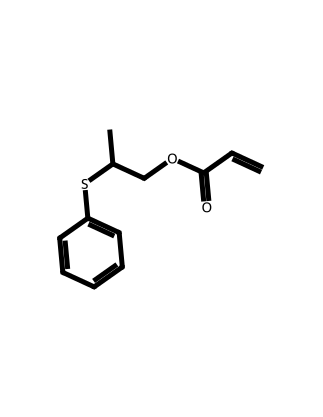 C=CC(=O)OCC(C)Sc1ccccc1